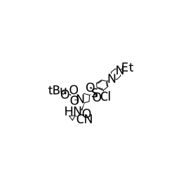 CCN1CCN(c2ccc(S(=O)(=O)[C@@H]3C[C@@H](C(=O)NC4(C#N)CC4)N(OC(=O)OC(C)(C)C)C3)c(Cl)c2)CC1